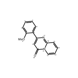 COc1ccccc1-c1cc(=O)n2ccccc2n1